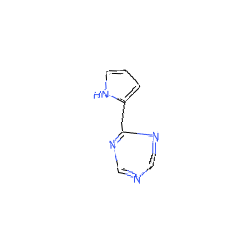 c1c[nH]c(-c2ncncn2)c1